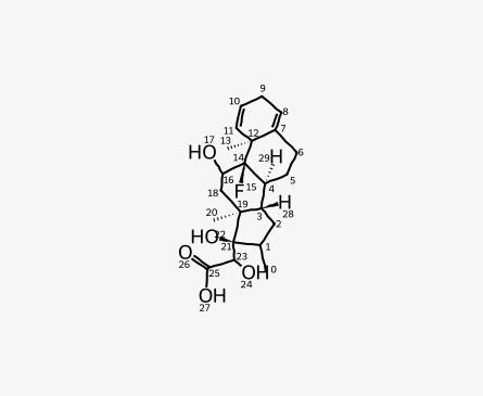 CC1C[C@H]2[C@@H]3CCC4=CCC=C[C@]4(C)[C@@]3(F)C(O)C[C@]2(C)[C@@]1(O)C(O)C(=O)O